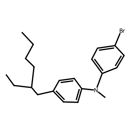 CCCCC(CC)Cc1ccc(N(C)c2ccc(Br)cc2)cc1